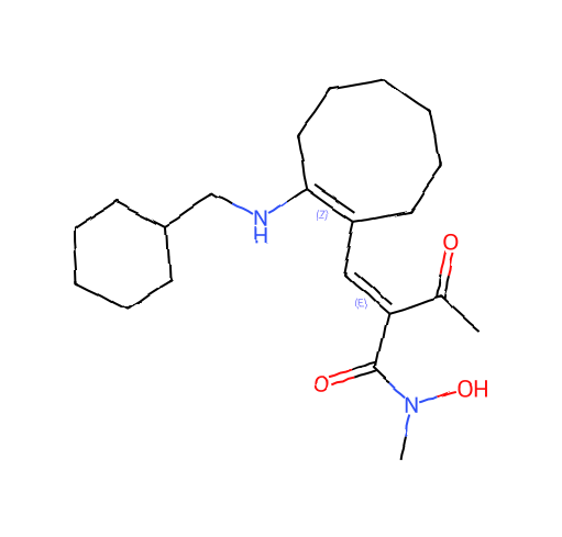 CC(=O)/C(=C\C1=C(/NCC2CCCCC2)CCCCCC1)C(=O)N(C)O